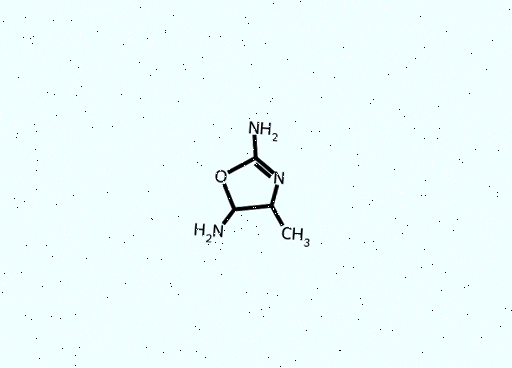 CC1N=C(N)OC1N